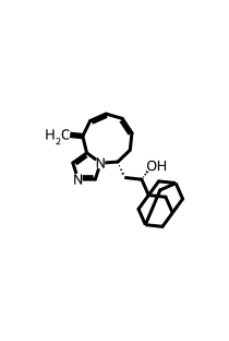 C=C1/C=C\C=C/C[C@H](C[C@H](O)C23CC4CC(CC(C4)C2)C3)n2cncc21